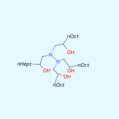 CCCCCCCCC(O)CN(CC(O)CCCCCCC)N(CC(O)CCCCCCCC)CC(O)CCCCCCCC